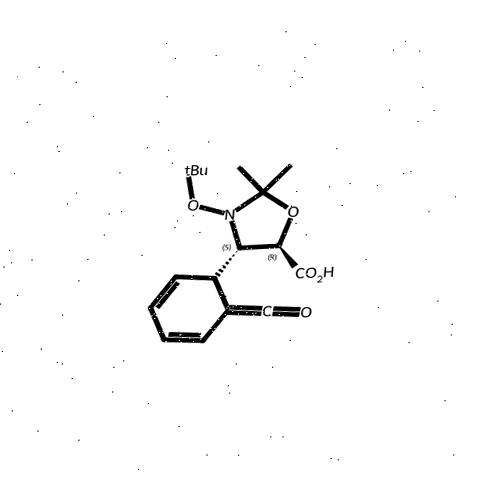 CC(C)(C)ON1[C@@H](C2C=CC=CC2=C=O)[C@H](C(=O)O)OC1(C)C